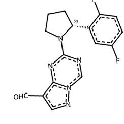 O=Cc1cnn2cnc(N3CCC[C@@H]3c3cc(F)ccc3F)nc12